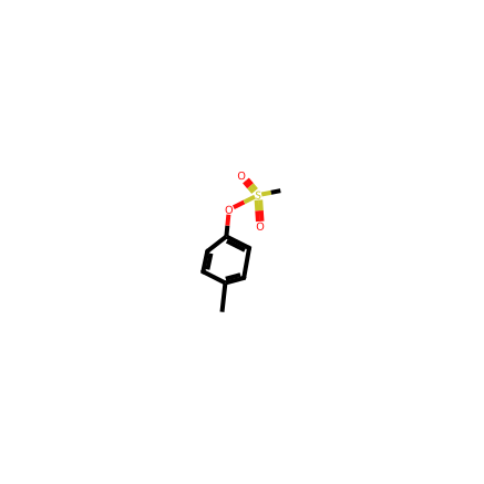 Cc1ccc(OS(C)(=O)=O)cc1